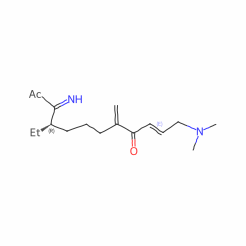 C=C(CCC[C@@H](CC)C(=N)C(C)=O)C(=O)/C=C/CN(C)C